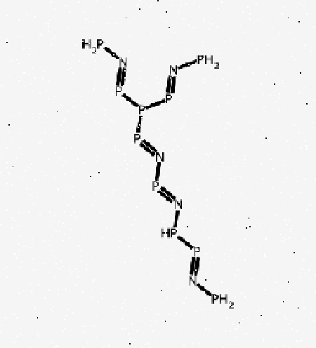 P/N=P/P/N=P/N=P/P(/P=N/P)/P=N/P